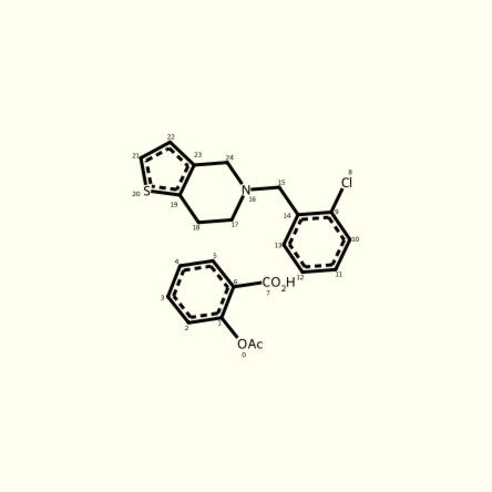 CC(=O)Oc1ccccc1C(=O)O.Clc1ccccc1CN1CCc2sccc2C1